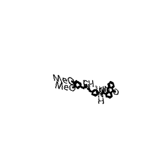 COc1ccc(CN(C)CCc2ccc(NC(=O)c3cccc4c(=O)c5ccccc5[nH]c34)cc2)cc1OC